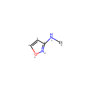 [CH2]CNc1ccon1